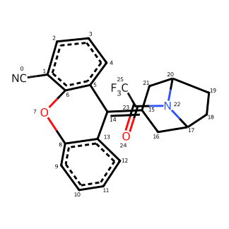 N#Cc1cccc2c1Oc1ccccc1C2=C1CC2CCC(C1)N2C(=O)C(F)(F)F